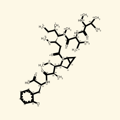 CC[C@H](C)[C@@H](C(CC(=O)N1C2CC2C[C@H]1[C@H](OC)[C@@H](C)C(=O)N[C@@H](Cc1ccccc1Cl)C(=O)O)OC)N(C)C(=O)[C@@H](NC(=O)C(NC)C(C)C)C(C)C